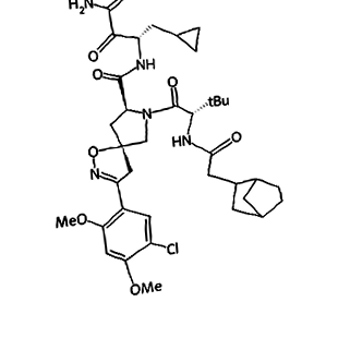 COc1cc(OC)c(C2=NO[C@]3(C2)C[C@@H](C(=O)N[C@@H](CC2CC2)C(=O)C(N)=O)N(C(=O)[C@@H](NC(=O)CC2CC4CCC2C4)C(C)(C)C)C3)cc1Cl